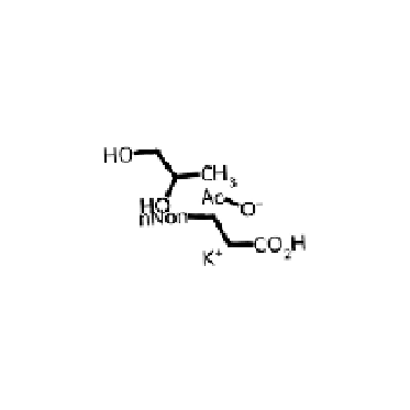 CC(=O)[O-].CC(O)CO.CCCCCCCCCCCC(=O)O.[K+]